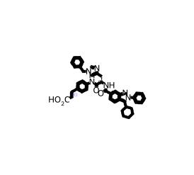 O=C(O)/C=C/c1ccc(NC(=O)[C@H](Cc2cn(Cc3ccccc3)cn2)NC(=O)c2ccc3c(C4CCCCC4)n(-c4ccccc4)nc3c2)cc1